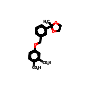 CC1(c2cccc(COc3ccc(C(=O)O)c(C(=O)O)c3)c2)OCCO1